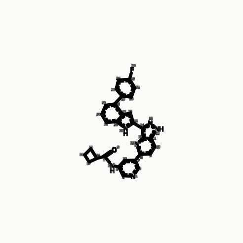 O=C(Nc1cncc(-c2ccc3[nH]nc(-c4cc5c(-c6ccc(F)cc6)cccc5[nH]4)c3n2)c1)C1CCC1